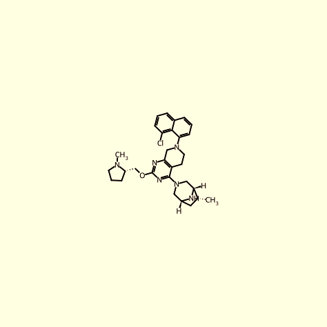 C[C@@H]1C[C@@H]2CN(c3nc(OC[C@@H]4CCCN4C)nc4c3CCN(c3cccc5cccc(Cl)c35)C4)C[C@H]1N2